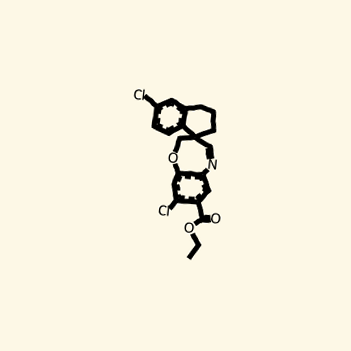 CCOC(=O)c1cc2c(cc1Cl)OCC1(C=N2)CCCc2cc(Cl)ccc21